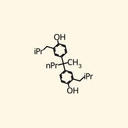 CCCC(C)(c1ccc(O)c(CC(C)C)c1)c1ccc(O)c(CC(C)C)c1